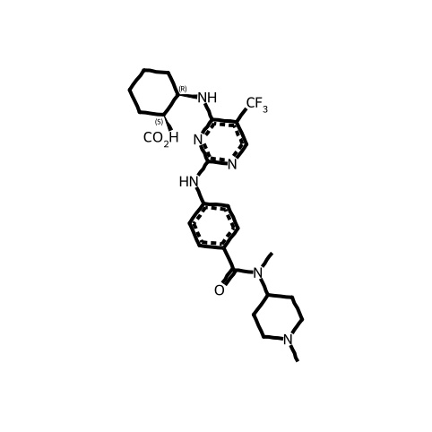 CN1CCC(N(C)C(=O)c2ccc(Nc3ncc(C(F)(F)F)c(N[C@@H]4CCCC[C@@H]4C(=O)O)n3)cc2)CC1